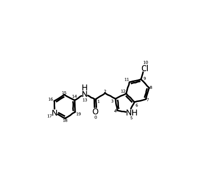 O=C(Cc1c[nH]c2ccc(Cl)cc12)Nc1ccncc1